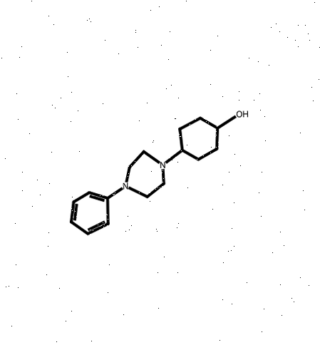 OC1CCC(N2CCN(c3ccccc3)CC2)CC1